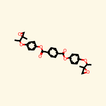 CC(Oc1ccc(OC(=O)c2ccc(C(=O)Oc3ccc(OC(C)C4(C)CO4)cc3)cc2)cc1)C1(C)CO1